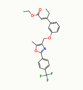 CCOC(=O)C=C(CC)c1cccc(OCc2nc(-c3ccc(C(F)(F)F)cc3)oc2C)c1